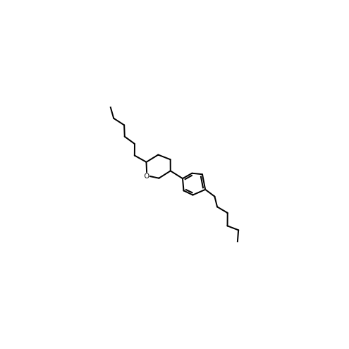 CCCCCCc1ccc(C2CCC(CCCCCC)OC2)cc1